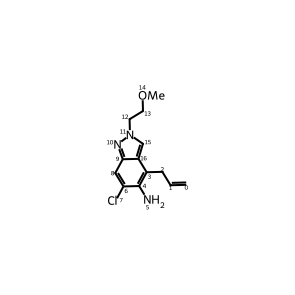 C=CCc1c(N)c(Cl)cc2nn(CCOC)cc12